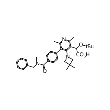 Cc1nc(C)c(C(OC(C)(C)C)C(=O)O)c(N2CC(C)(C)C2)c1-c1ccc(C(=O)NCc2ccccc2)cc1